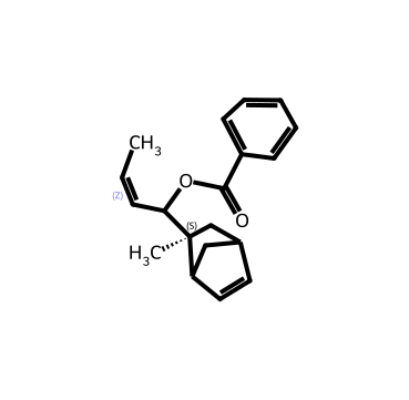 C/C=C\C(OC(=O)c1ccccc1)[C@@]1(C)CC2C=CC1C2